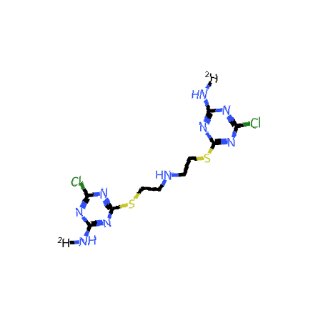 [2H]Nc1nc(Cl)nc(SCCNCCSc2nc(Cl)nc(N[2H])n2)n1